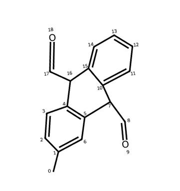 Cc1ccc2c(c1)C(C=O)c1ccccc1C2C=O